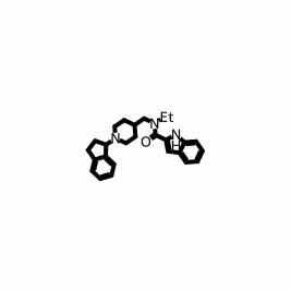 CCN(CC1CCN(C2CCc3ccccc32)CC1)C(=O)c1cc2ccccc2[nH]1